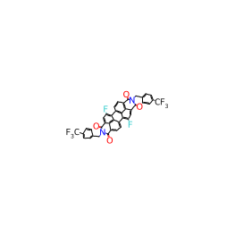 O=C1c2ccc3c4c(F)cc5c6c(ccc(c7c(F)cc(c2c37)C(=O)N1Cc1ccc(C(F)(F)F)cc1)c64)C(=O)N(Cc1ccc(C(F)(F)F)cc1)C5=O